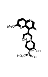 COc1ccc2ncc(F)c(C(CO)CN3CC[C@H](N(C(=O)O)C(C)(C)C)[C@H](O)C3)c2n1